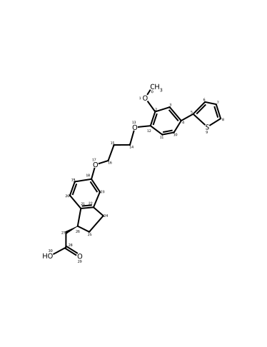 COc1cc(-c2cccs2)ccc1OCCCOc1ccc2c(c1)CC[C@H]2CC(=O)O